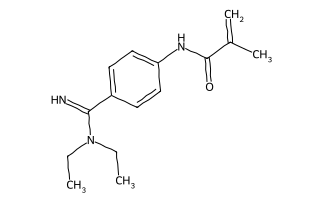 C=C(C)C(=O)Nc1ccc(C(=N)N(CC)CC)cc1